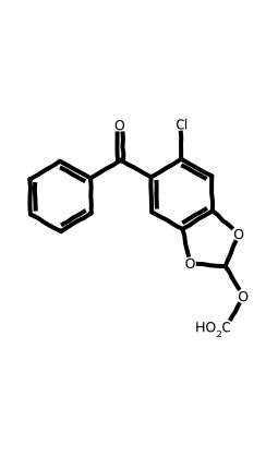 O=C(O)OC1Oc2cc(Cl)c(C(=O)c3ccccc3)cc2O1